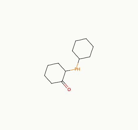 O=C1CCCCC1PC1CCCCC1